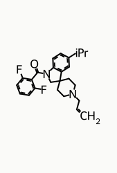 C=CCN1CCC2(CC1)CN(C(=O)c1c(F)cccc1F)c1ccc(C(C)C)cc12